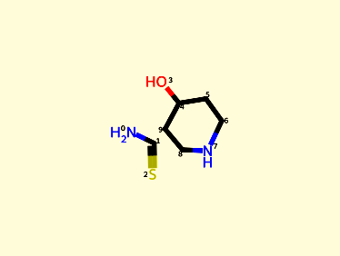 NC=S.OC1CCNCC1